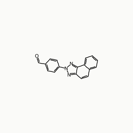 O=Cc1ccc(-n2nc3ccc4ccccc4c3n2)cc1